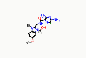 CCCOc1ccc2c(c1)[n+]([C@H](C)O)c(CNC(=O)c1nc(Cl)c(N)nc1N)n2CC